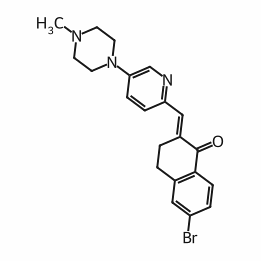 CN1CCN(c2ccc(/C=C3\CCc4cc(Br)ccc4C3=O)nc2)CC1